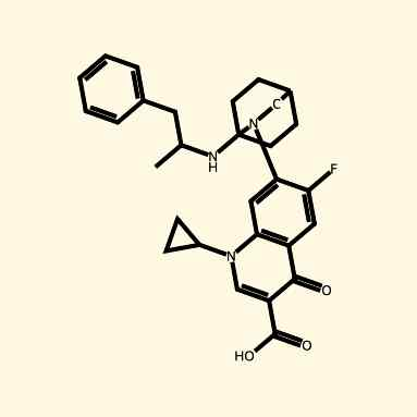 CC(Cc1ccccc1)NC12CCC(CC1)CN2c1cc2c(cc1F)c(=O)c(C(=O)O)cn2C1CC1